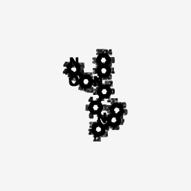 c1cc(-c2cccc(-n3c4ccccc4c4ccc5ccccc5c43)c2)cc(N(c2ccc3ccccc3c2)c2ccc3oc4ccncc4c3c2)c1